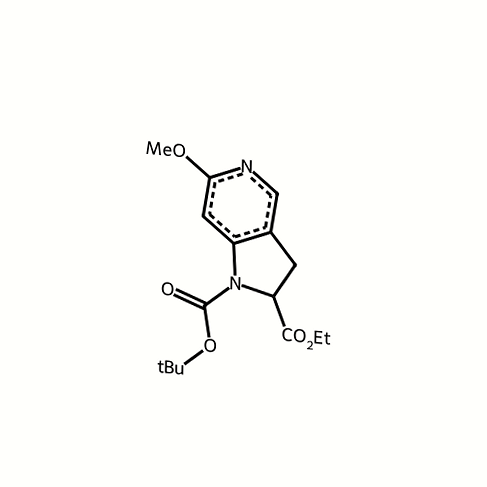 CCOC(=O)C1Cc2cnc(OC)cc2N1C(=O)OC(C)(C)C